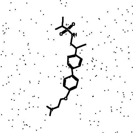 CC(CNS(=O)(=O)C(C)C)c1ccc(-c2ccc(OCCN(C)C)cc2)cc1